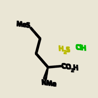 CN[C@@H](CCSC)C(=O)O.Cl.S